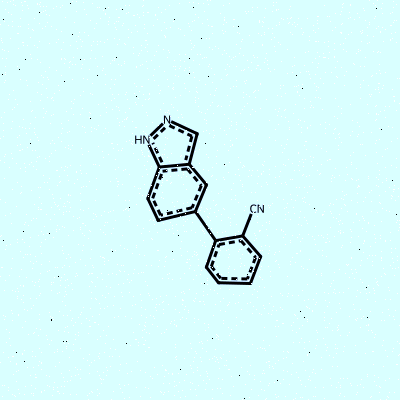 N#Cc1ccccc1-c1ccc2[nH]ncc2c1